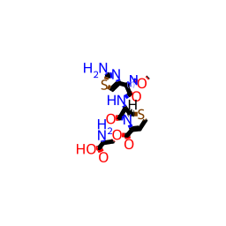 CO/N=C(\C(=O)NC1C(=O)N2C(C(=O)OCC(N)C(=O)O)=CCS[C@H]12)c1csc(N)n1